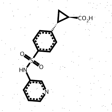 O=C(O)[C@@H]1C[C@H]1c1ccc(S(=O)(=O)Nc2cccnc2)cc1